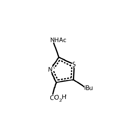 CCC(C)c1sc(NC(C)=O)nc1C(=O)O